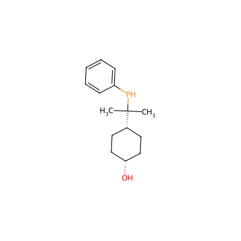 CC(C)(Pc1ccccc1)[C@H]1CC[C@@H](O)CC1